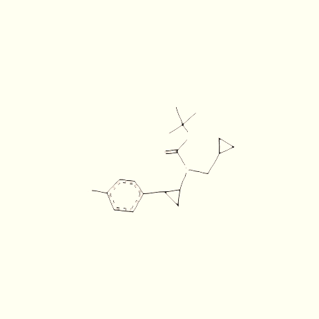 CC(C)(C)OC(=O)N(CC1CC1)C1CC1c1ccc(Br)cc1